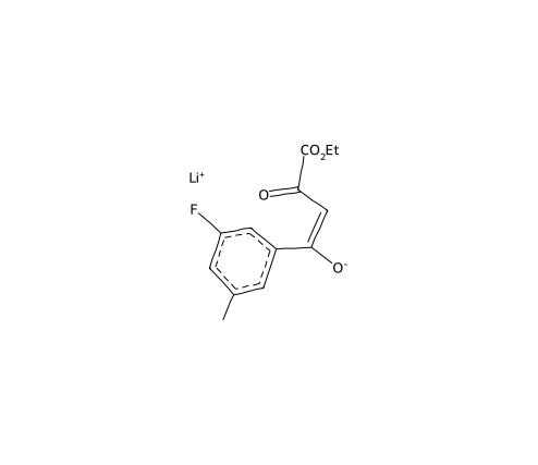 CCOC(=O)C(=O)/C=C(/[O-])c1cc(C)cc(F)c1.[Li+]